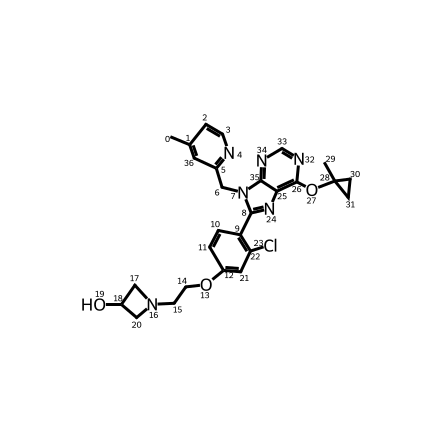 Cc1ccnc(Cn2c(-c3ccc(OCCN4CC(O)C4)cc3Cl)nc3c(OC4(C)CC4)ncnc32)c1